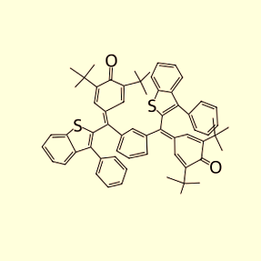 CC(C)(C)C1=CC(=C(c2cccc(C(=C3C=C(C(C)(C)C)C(=O)C(C(C)(C)C)=C3)c3sc4ccccc4c3-c3ccccc3)c2)c2sc3ccccc3c2-c2ccccc2)C=C(C(C)(C)C)C1=O